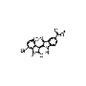 COC(=O)c1ccc2c(c1)C(=N/O)/C(=C1/C(=O)N(C)c3c(Br)cccc31)N2